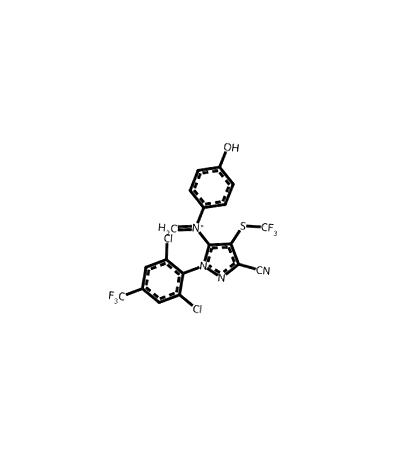 C=[N+](c1ccc(O)cc1)c1c(SC(F)(F)F)c(C#N)nn1-c1c(Cl)cc(C(F)(F)F)cc1Cl